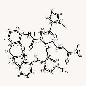 CN(C)C(=O)/C=C/CC[C@H](NC(=O)c1cncn1C)C(=O)Nc1cccn(Cc2nc3cccc(Oc4ccc(F)cc4F)c3[nH]2)c1=O